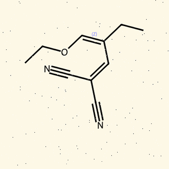 CCO/C=C(\C=C(C#N)C#N)CC